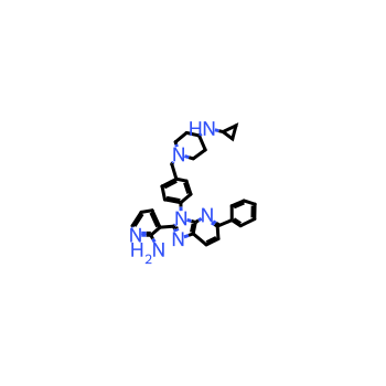 Nc1ncccc1-c1nc2ccc(-c3ccccc3)nc2n1-c1ccc(CN2CCC(NC3CC3)CC2)cc1